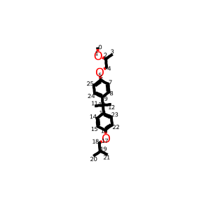 COC(C)COc1ccc(C(C)(C)c2ccc(OCC(C)C)cc2)cc1